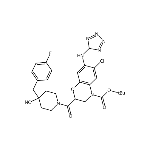 CC(C)(C)OC(=O)N1CC(C(=O)N2CCC(C#N)(Cc3ccc(F)cc3)CC2)Oc2cc(NC3N=NN=N3)c(Cl)cc21